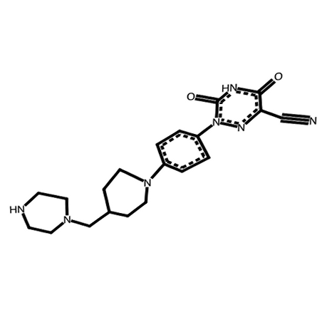 N#Cc1nn(-c2ccc(N3CCC(CN4CCNCC4)CC3)cc2)c(=O)[nH]c1=O